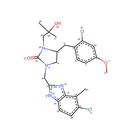 COc1ccc(CC2CN(Cc3nc4c(C)c(Cl)ccc4[nH]3)C(=O)N2CC(C)(C)O)c(Cl)c1